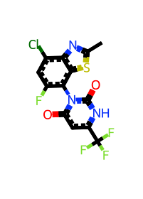 Cc1nc2c(Cl)cc(F)c(-n3c(=O)cc(C(F)(F)F)[nH]c3=O)c2s1